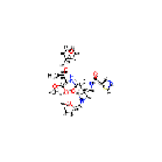 COC(=O)[C@@H](NC(=O)[C@@H]1CN(C(=O)c2cncs2)CC12CN(CC1CCCO1)C2)[C@@H](C)OCC12CCC(CC1)OC2